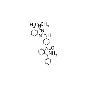 CN(C)c1nc(N[C@H]2CC[C@@H](N(C(N)=O)c3ccccc3Cc3ccccc3)CC2)nc2c1CCCC2